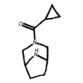 O=C(C1CC1)N1CC2CCC(C1)N2